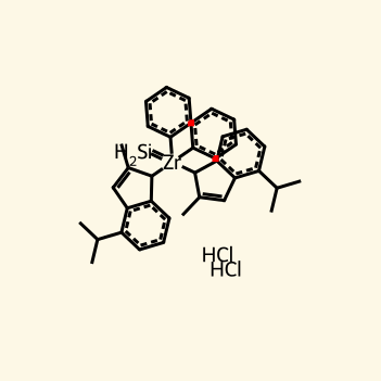 CC1=Cc2c(C(C)C)cccc2[CH]1[Zr](=[SiH2])([c]1ccccc1)([c]1ccccc1)[CH]1C(C)=Cc2c(C(C)C)cccc21.Cl.Cl